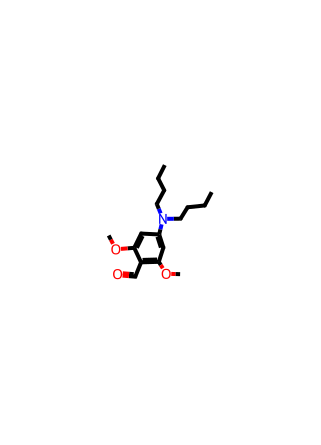 CCCCN(CCCC)c1cc(OC)c(C=O)c(OC)c1